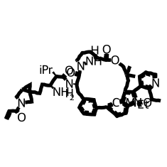 C=CC(=O)N1CC2CC2(CC[C@H](N)[C@H](C(=O)N[C@H]2Cc3cccc(c3)-c3ccc4c(c3)c(c(-c3cccnc3[C@H](C)OC)n4CC)CC(C)(C)COC(=O)[C@@H]3CCCN(N3)C2=O)C(C)C)C1